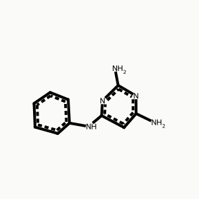 Nc1cc(Nc2ccccc2)nc(N)n1